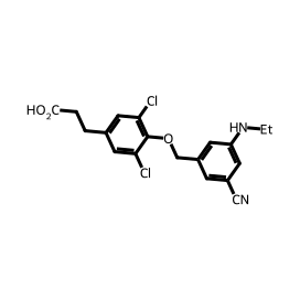 CCNc1cc(C#N)cc(COc2c(Cl)cc(CCC(=O)O)cc2Cl)c1